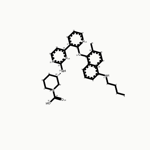 CCCCNc1cccc2c(Oc3ncccc3-c3ccnc(N[C@H]4CCCN(C(=O)O)C4)n3)c(C)ccc12